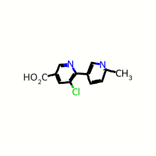 Cc1ccc(-c2ncc(C(=O)O)cc2Cl)cn1